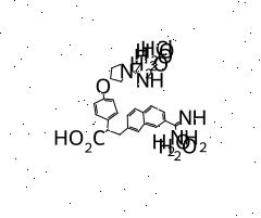 CC(=N)N1CCC(Oc2ccc(C(Cc3ccc4ccc(C(=N)N)cc4c3)C(=O)O)cc2)C1.Cl.O.O.O.O.O